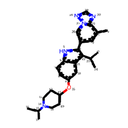 Cc1cc(-c2[nH]c3ccc(OC4CCN(C(C)C)CC4)cc3c2C(C)C)cn2ncnc12